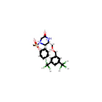 CS(=O)(=O)N1CC(=O)N[C@H](COCc2cc(C(F)(F)F)cc(C(F)(F)F)c2)[C@@H]1c1ccccc1